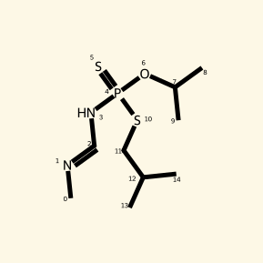 CN=CNP(=S)(OC(C)C)SCC(C)C